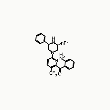 CCC[C@H]1CN(c2ccc(C(F)(F)F)c(C(=O)c3ccccc3N)n2)C[C@@H](c2ccccc2)N1